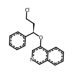 ClCC[C@@H](Oc1cncc2ccccc12)c1ccccc1